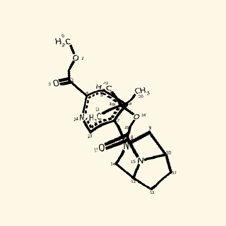 COC(=O)c1ccc(N2CC3CCC(C2)N3C(=O)OC(C)(C)C)cn1